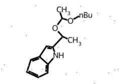 CCCCOC(C)OC(C)c1cc2ccccc2[nH]1